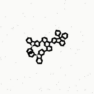 c1ccc(-n2c3ccccc3c3cc(-c4cccc5c(-c6ccc7c(c6)-c6ccccc6C7(c6ccccc6)c6ccccc6)c6cccc(-c7ccc8c(c7)c7ccccc7n8-c7ccccc7)c6cc45)ccc32)cc1